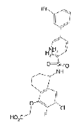 C=C(/C=C\C(=C/N)c1cccc(C(C)C)c1)S(=O)(=O)NC1CCCc2c1cc(Cl)c(F)c2OCC(=O)O